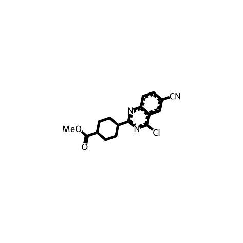 COC(=O)C1CCC(c2nc(Cl)c3cc(C#N)ccc3n2)CC1